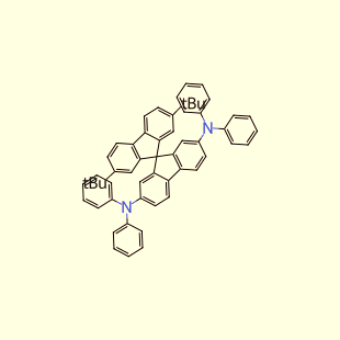 CC(C)(C)c1ccc2c(c1)C1(c3cc(N(c4ccccc4)c4ccccc4)ccc3-c3ccc(N(c4ccccc4)c4ccccc4)cc31)c1cc(C(C)(C)C)ccc1-2